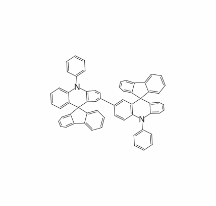 c1ccc(N2c3ccccc3C3(c4ccccc4-c4ccccc43)c3cc(-c4ccc5c(c4)C4(c6ccccc6-c6ccccc64)c4ccccc4N5c4ccccc4)ccc32)cc1